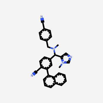 CN(Cc1ccc(C#N)cc1)C(c1ccc(C#N)c(-c2cccc3ccccc23)c1)c1cncn1C